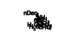 CCCCCCCCCCCCNC(=O)C1(N)CC(C)(C)N(C=O)C(C)(C)C1